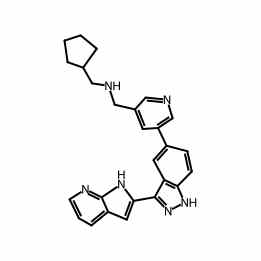 c1cnc2[nH]c(-c3n[nH]c4ccc(-c5cncc(CNCC6CCCC6)c5)cc34)cc2c1